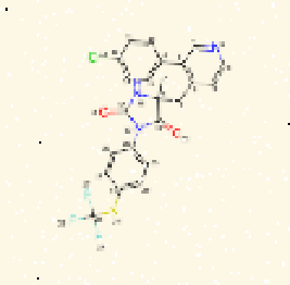 CC1(Cc2ccncc2-c2ccc(Cl)cc2)NC(=O)N(c2ccc(SC(F)(F)F)cc2)C1=O